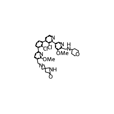 COc1cc(-c2nccc(-c3cccc(-c4ccc(CN5CC6(CNC(=O)C6)C5)c(OC)n4)c3Cl)c2Cl)cnc1CNC1CCOCC1